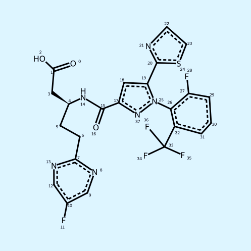 O=C(O)C[C@H](CCc1ncc(F)cn1)NC(=O)c1cc(-c2nccs2)n(-c2c(F)cccc2C(F)(F)F)n1